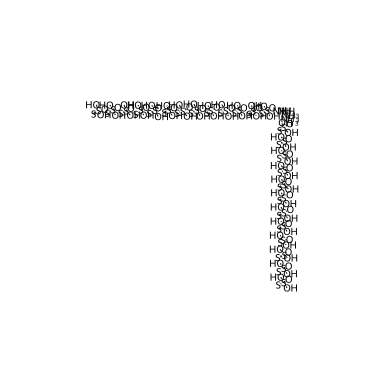 N.N.N.N.N.O=S(O)(O)=S.O=S(O)(O)=S.O=S(O)(O)=S.O=S(O)(O)=S.O=S(O)(O)=S.O=S(O)(O)=S.O=S(O)(O)=S.O=S(O)(O)=S.O=S(O)(O)=S.O=S(O)(O)=S.O=S(O)(O)=S.O=S(O)(O)=S.O=S(O)(O)=S.O=S(O)(O)=S.O=S(O)(O)=S.O=S(O)(O)=S.O=S(O)(O)=S.O=S(O)(O)=S.O=S(O)(O)=S.O=S(O)(O)=S.O=S(O)(O)=S.O=S(O)(O)=S.O=S(O)(O)=S.O=S(O)(O)=S.O=S(O)(O)=S